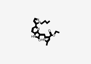 CCCCn1nccc1-c1ccc2c(n1)/C(=C/c1[nH]c(C)cc1C(=O)OCC)C(=O)N2